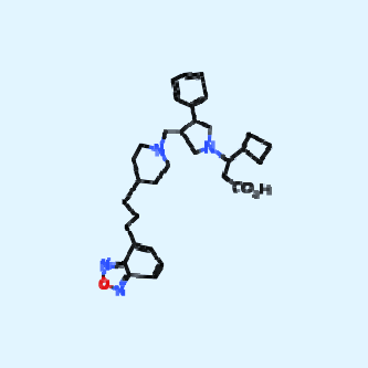 O=C(O)CC(C1CCC1)N1CC(CN2CCC(CCCc3cccc4nonc34)CC2)C(c2ccccc2)C1